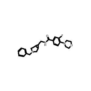 O=C(NCC1C2CN(Cc3ccccc3)CC12)c1ccc(N2CCOCC2)c(F)c1